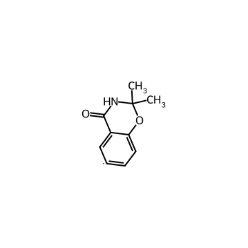 CC1(C)NC(=O)c2c[c]ccc2O1